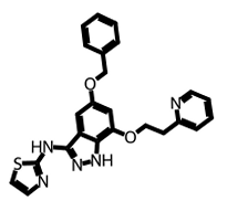 c1ccc(COc2cc(OCCc3ccccn3)c3[nH]nc(Nc4nccs4)c3c2)cc1